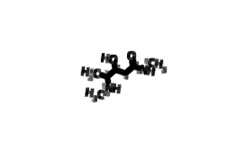 CNC(=O)CC(O)C(C)NC